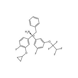 N[C@@](Cc1ccccc1)(c1cc(F)cc(OC(F)(F)C(F)F)c1)c1ccc(F)c(OC2CC2)c1